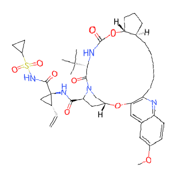 C=C[C@@H]1C[C@]1(NC(=O)[C@@H]1C[C@@H]2CN1C(=O)[C@H](C(C)(C)C)NC(=O)O[C@@H]1CCC[C@H]1CCCCCc1nc3ccc(OC)cc3cc1O2)C(=O)NS(=O)(=O)C1CC1